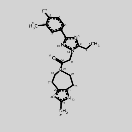 CCc1nc(-c2ccc(F)c(C)c2)nn1CC(=O)N1CCc2nc(N)sc2CC1